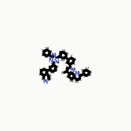 Cc1cc(-c2cccc(-c3cccc(-c4nc(-c5ccccc5)nc(-c5cccc(-c6cccc7cnccc67)c5)n4)c3)c2)nc2c1ccc1ccc(-c3ccccc3)nc12